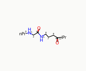 CCCNCC(=O)NCCCC(=O)C(C)C